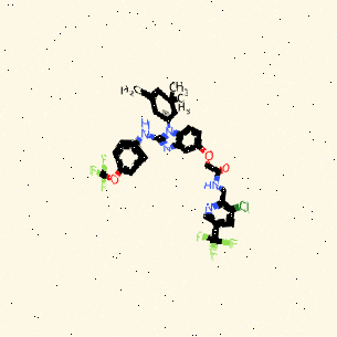 C=C1C[C@H](n2c(Nc3ccc(OC(F)(F)F)cc3)nc3cc(OCC(=O)NCc4ncc(C(F)(F)F)cc4Cl)ccc32)CC(C)(C)C1